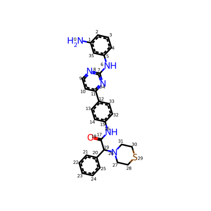 Nc1cccc(Nc2nccc(-c3ccc(NC(=O)C(c4ccccc4)N4CCSCC4)cc3)n2)c1